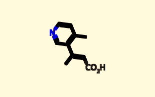 CC(=CC(=O)O)c1cnccc1C